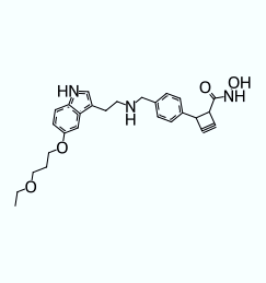 CCOCCCOc1ccc2[nH]cc(CCNCc3ccc(C4C#CC4C(=O)NO)cc3)c2c1